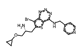 N[C@@H](COC1CC1)Cc1sc2c(NCc3ccncc3)nnnc2c1Br